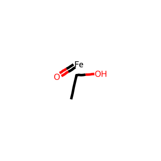 CCO.[O]=[Fe]